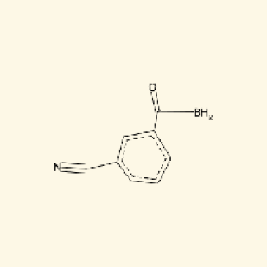 BC(=O)c1cccc(C#N)c1